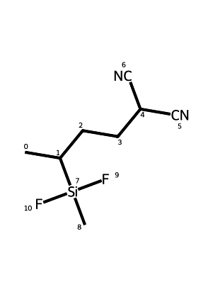 CC(CCC(C#N)C#N)[Si](C)(F)F